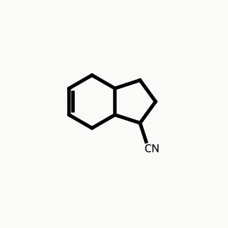 N#CC1CCC2CC=CCC12